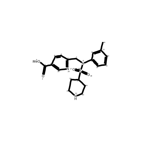 COC(=O)c1ccc(CN(c2cccc(C)c2)S(=O)(=O)C2CCNCC2)nc1